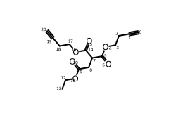 C#CCCOC(=O)C(CC(=O)OCC)C(=O)OCCC#C